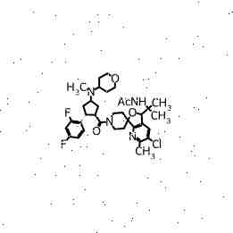 CC(=O)NC(C)(C)C1OC2(CCN(C(=O)C3CC(N(C)C4CCOCC4)C[C@H]3c3ccc(F)cc3F)CC2)c2nc(C)c(Cl)cc21